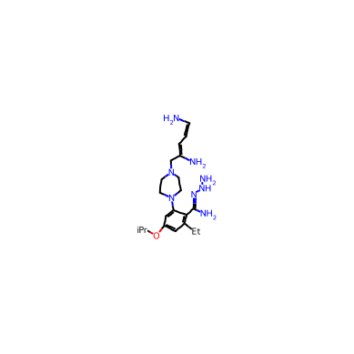 CCc1cc(OC(C)C)cc(N2CCN(C/C(N)=C/C=C\N)CC2)c1/C(N)=N/NN